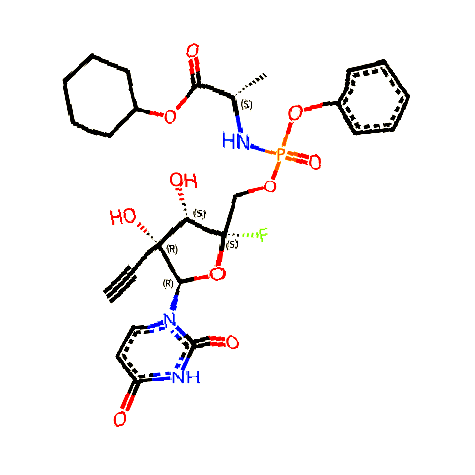 C#C[C@]1(O)[C@H](n2ccc(=O)[nH]c2=O)O[C@](F)(COP(=O)(N[C@@H](C)C(=O)OC2CCCCC2)Oc2ccccc2)[C@H]1O